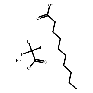 CCCCCCCCCC(=O)[O-].O=C([O-])C(F)(F)F.[Ni+2]